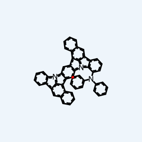 c1ccc(N(c2ccccc2)c2cccc3c4cc5ccccc5c5c6cc7c(cc6n(c23)c45)c2c3ccccc3cc3c4ccccc4n7c32)cc1